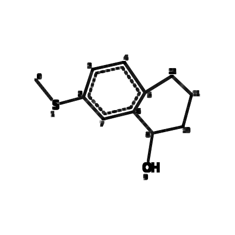 CSc1ccc2c(c1)C(O)CCC2